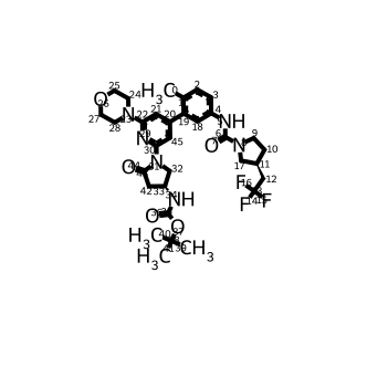 Cc1ccc(NC(=O)N2CC[C@@H](CC(F)(F)F)C2)cc1-c1cc(N2CCOCC2)nc(N2C[C@H](NC(=O)OC(C)(C)C)CC2=O)c1